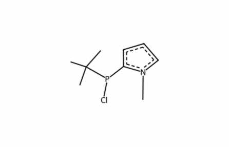 Cn1cccc1P(Cl)C(C)(C)C